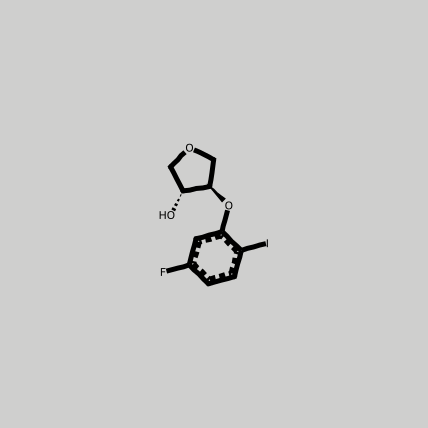 O[C@@H]1COC[C@H]1Oc1cc(F)ccc1I